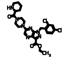 CCOC(=O)c1nn(Cc2ccc(Cl)cc2Cl)c2nc(N3CCN(C(=O)C4CCCCN4)CC3)cnc12